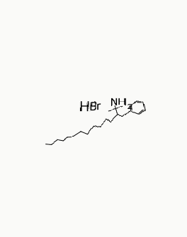 Br.CCCCCCCCCCCCC(Cc1ccccc1)C(C)(C)N